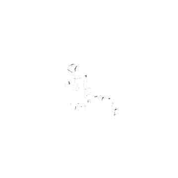 CC(C)C(=O)OCC(C)(C)OC(=O)N=C(NC(=O)OC(C)(C)COC(=O)C(C)C)N1CCC(CN([C@H](Cc2ccccc2)C(=O)N2CCC[C@H]2C(N)=O)S(C)(=O)=O)CC1